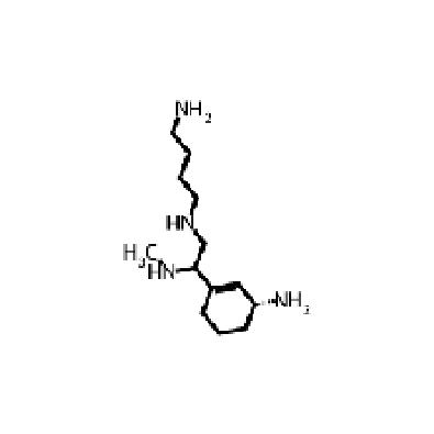 CNC(CNCCCCN)C1=C[C@H](N)CCC1